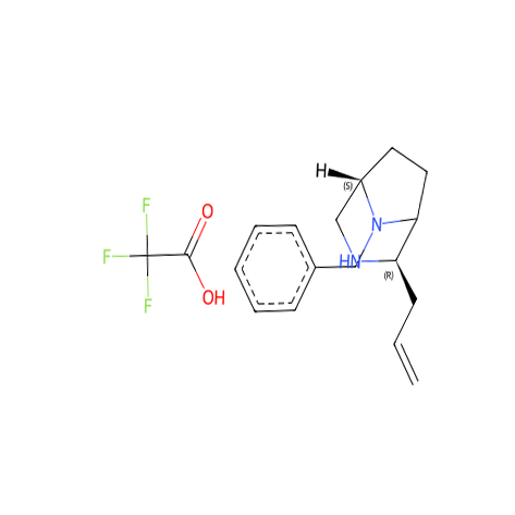 C=CC[C@H]1NC[C@@H]2CCC1N2Cc1ccccc1.O=C(O)C(F)(F)F